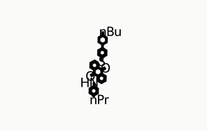 CCCCC1CCC(c2ccc(Sc3cccc4c3C(=O)c3cccc(Nc5ccc(CCC)cc5)c3C4=O)cc2)CC1